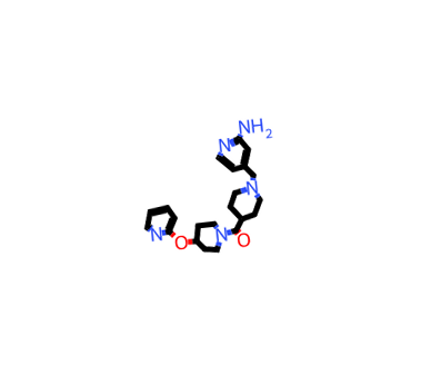 Nc1cc(CN2CCC(C(=O)N3CCC(Oc4ccccn4)CC3)CC2)ccn1